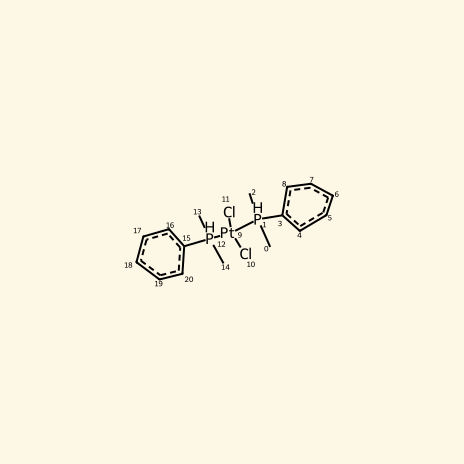 C[PH](C)(c1ccccc1)[Pt]([Cl])([Cl])[PH](C)(C)c1ccccc1